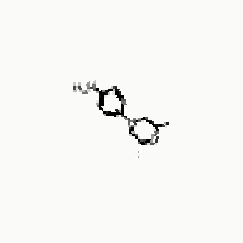 C[C@@H]1CN(c2ccc(N)cc2)C[C@@H](C)O1